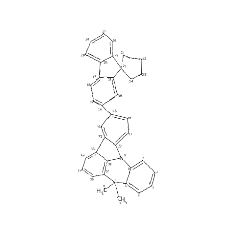 CC1(C)c2ccccc2-n2c3ccc(-c4ccc5c(c4)C4(CCCC4)c4ccccc4-5)cc3c3cccc1c32